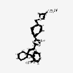 O=C(O)C1CN(Cc2ccc(-c3noc(CCC4(c5ccccc5F)CCCCC4)n3)cc2)C1